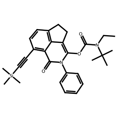 CCN(C(=O)Oc1c2c3c(ccc(C#C[Si](C)(C)C)c3c(=O)n1-c1ccccc1)CC2)C(C)(C)C